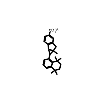 CC1(C)CCC(C)(C)c2c(C3C4c5ccc(C(=O)O)cc5CC43C)cccc21